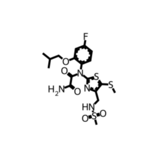 CSc1sc(N(C(=O)C(N)=O)c2ccc(F)cc2OCC(C)C)nc1CNS(C)(=O)=O